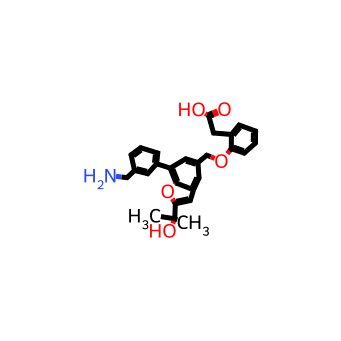 CC(C)(O)c1cc2cc(COc3ccccc3CC(=O)O)cc(-c3cccc(CN)c3)c2o1